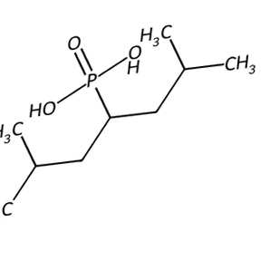 CC(C)CC(CC(C)C)P(=O)(O)O